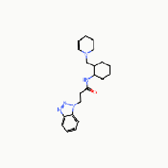 O=C(CCn1nnc2ccccc21)NC1CCCCC1CN1CCCCC1